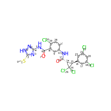 CSc1nc(NC(=O)c2cc(NC(=O)[C@@H]3[C@@H](c4cc(Cl)cc(Cl)c4)C3(Cl)Cl)ccc2Cl)n[nH]1